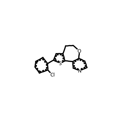 Clc1ccccc1-c1cc2c(s1)-c1cnccc1OCC2